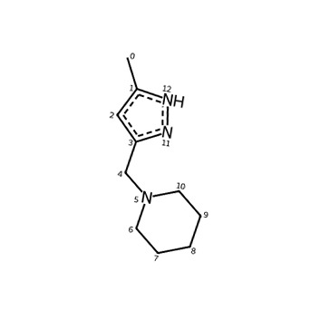 Cc1cc(CN2CCCCC2)n[nH]1